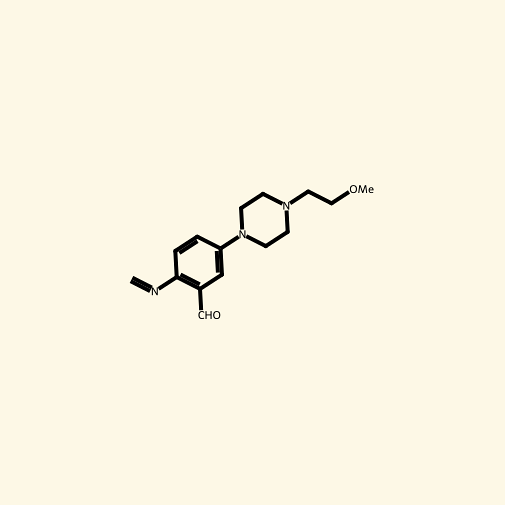 C=Nc1ccc(N2CCN(CCOC)CC2)cc1C=O